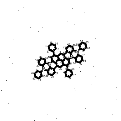 c1ccc(-c2cc3c4c(cc5c(-c6ccccc6)cc6c7c(cc2c4c57)-c2cccc4c2B6c2ccccc2N4c2ccccc2)-c2cccc4c2B3c2ccccc2N4c2ccccc2)cc1